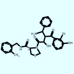 CCc1c(O)cccc1C(=O)C(C(O)C(=O)N1CSC[C@H]1C(=O)NCc1ccccc1C)C(N)c1ccccc1